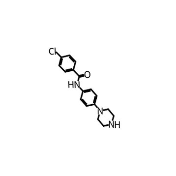 O=C(Nc1ccc(N2CCNCC2)cc1)c1ccc(Cl)cc1